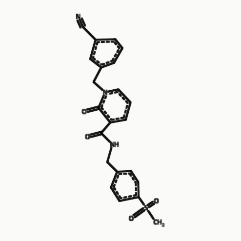 CS(=O)(=O)c1ccc(CNC(=O)c2cccn(Cc3cccc(C#N)c3)c2=O)cc1